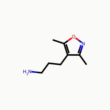 Cc1noc(C)c1CCCN